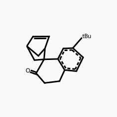 CC(C)(C)c1ccc2c(c1)C1(CC3C=CC1C3)C(=O)CC2